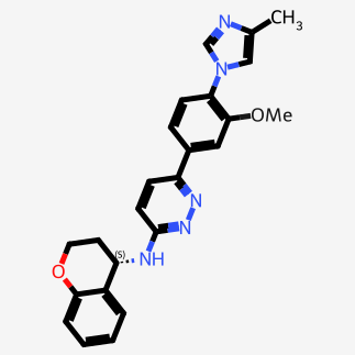 COc1cc(-c2ccc(N[C@H]3CCOc4ccccc43)nn2)ccc1-n1cnc(C)c1